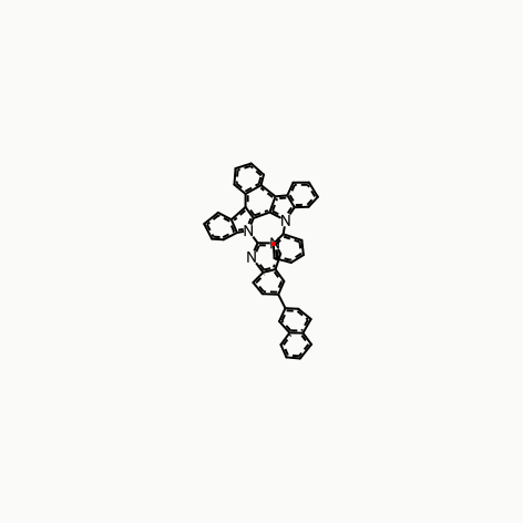 c1ccc(-n2c3ccccc3c3c4ccccc4c4c5ccccc5n(-c5ncc6cc(-c7ccc8ccccc8c7)ccc6n5)c4c32)cc1